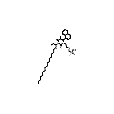 CCCCCCCCCCCCCCCCOC(CC)n1c(=O)c(C)c(-c2cccc3ccccc23)n(CCOCP(=O)(O)O)c1=O